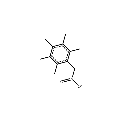 Cc1c(C)c(C)c(C[N+](=O)[O-])c(C)c1C